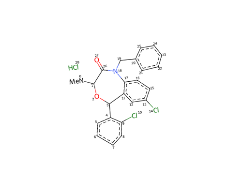 CNC1OC(c2ccccc2Cl)c2cc(Cl)ccc2N(Cc2ccccc2)C1=O.Cl